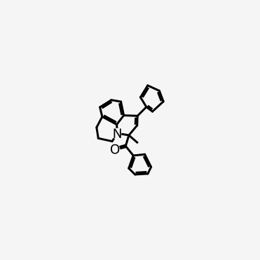 CC1(C(=O)c2ccccc2)C=C(c2ccccc2)c2cccc3c2N1CCC3